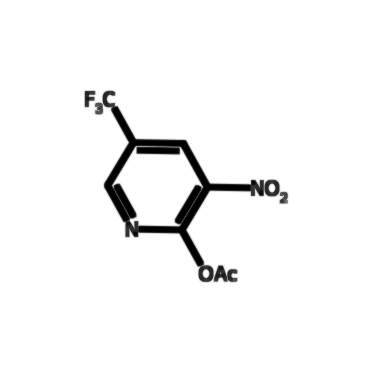 CC(=O)Oc1ncc(C(F)(F)F)cc1[N+](=O)[O-]